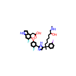 CNCC(O)CCCCCC(C)(c1cccc(I)c1)c1cnc(-c2cc(Oc3c(F)cc4[nH]ccc4c3CC(=O)O)ccc2F)[nH]1